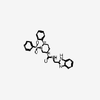 O=C(NCc1nc2ccccc2[nH]1)[C@@H]1CC[C@H](c2ccccc2)N(S(=O)(=O)c2ccccc2)C1